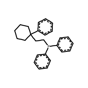 c1ccc(P(CCC2(c3ccccc3)CCCCC2)c2ccccc2)cc1